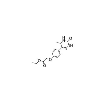 CCOC(=O)COc1ccc(C2=NNC(=O)NC2C)cc1